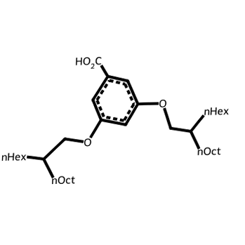 CCCCCCCCC(CCCCCC)COc1cc(OCC(CCCCCC)CCCCCCCC)cc(C(=O)O)c1